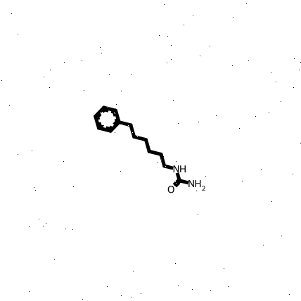 NC(=O)NCCCCCCc1ccccc1